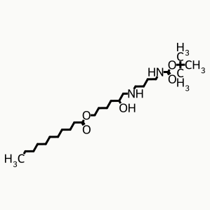 CCCCCCCCCCC(=O)OCCCCC(O)CNCCCCNC(=O)OC(C)(C)C